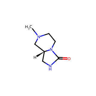 CN1CCN2C(=O)NC[C@@H]2C1